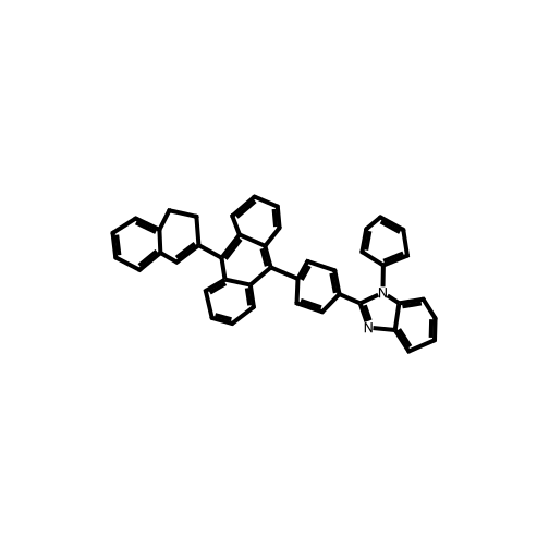 C1=C(c2c3ccccc3c(-c3ccc(-c4nc5ccccc5n4-c4ccccc4)cc3)c3ccccc23)CCc2ccccc21